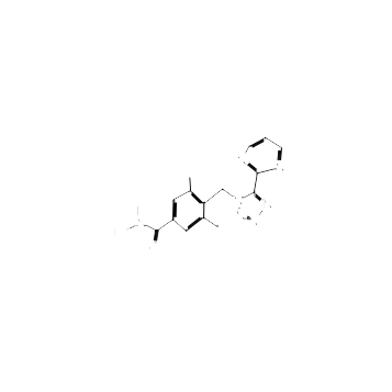 O=C(NO)c1cc(F)c(Cn2nnnc2-c2ncccn2)c(F)c1